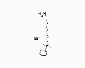 C[P+](C)(CCCCCCCCCN)c1ccccc1.[Br-]